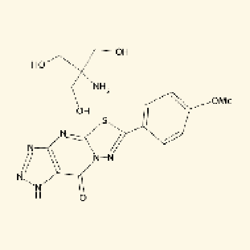 COc1ccc(-c2nn3c(=O)c4[nH]nnc4nc3s2)cc1.NC(CO)(CO)CO